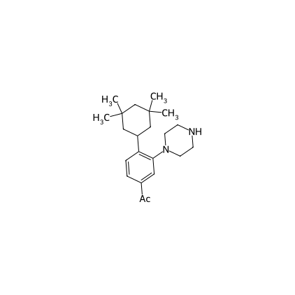 CC(=O)c1ccc(C2CC(C)(C)CC(C)(C)C2)c(N2CCNCC2)c1